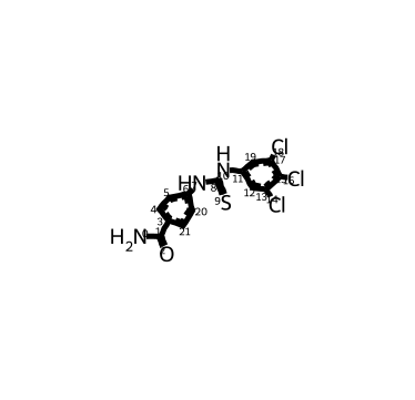 NC(=O)c1ccc(NC(=S)Nc2cc(Cl)c(Cl)c(Cl)c2)cc1